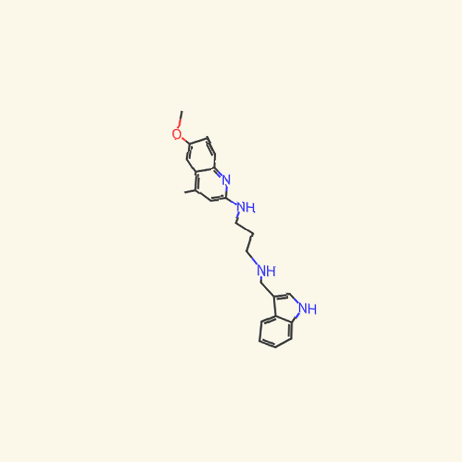 COc1ccc2nc(NCCCNCc3c[nH]c4ccccc34)cc(C)c2c1